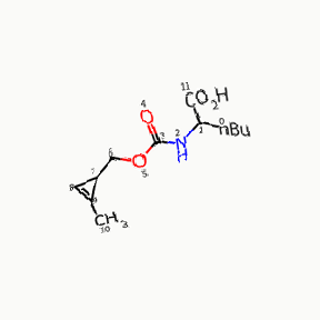 CCCCC(NC(=O)OCC1C=C1C)C(=O)O